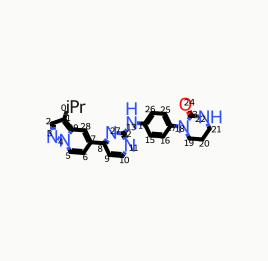 CC(C)c1cnn2ccc(-c3ccnc(Nc4ccc(N5CCCNC5=O)cc4)n3)cc12